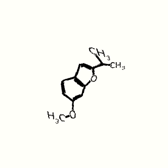 COc1ccc2cc(C(C)C)oc2c1